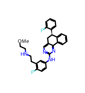 COCCNCCc1cc(Nc2ncc3c(n2)-c2ccccc2[C@H](c2ccccc2F)C3)ccc1F